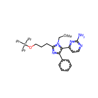 COCn1c(CCCO[Si](C(C)C)(C(C)C)C(C)C)nc(-c2ccccc2)c1-c1ccnc(N)n1